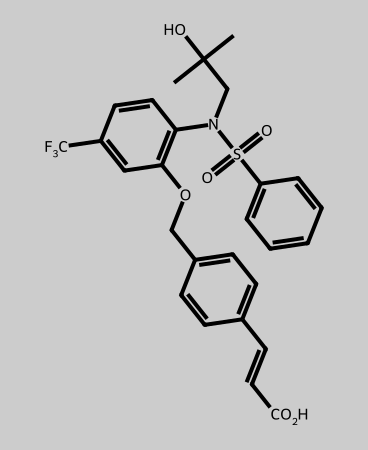 CC(C)(O)CN(c1ccc(C(F)(F)F)cc1OCc1ccc(C=CC(=O)O)cc1)S(=O)(=O)c1ccccc1